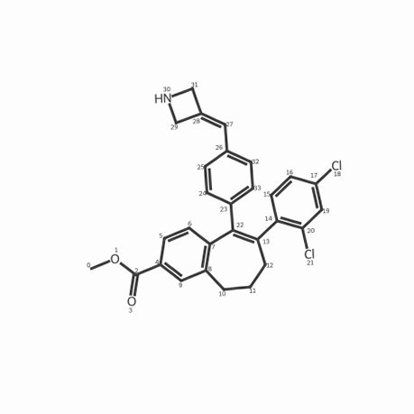 COC(=O)c1ccc2c(c1)CCCC(c1ccc(Cl)cc1Cl)=C2c1ccc(C=C2CNC2)cc1